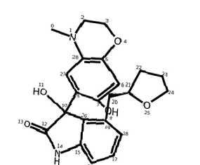 CN1CCOc2cc(O)c(C3(O)C(=O)Nc4cccc(C[C@H]5CCCO5)c43)cc21